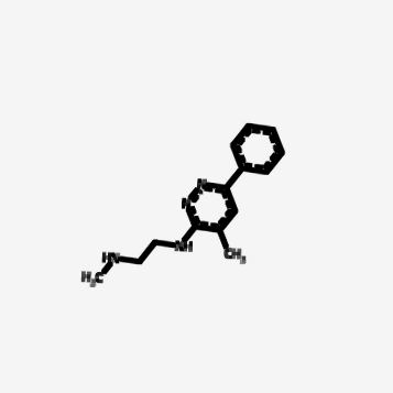 CNCCNc1nnc(-c2ccccc2)cc1C